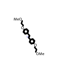 COCCCOc1ccc(/C=C/c2ccc(OCCCOC)cc2)cc1